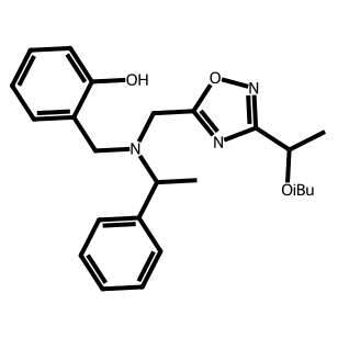 CC(C)COC(C)c1noc(CN(Cc2ccccc2O)C(C)c2ccccc2)n1